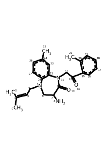 CC(C)=CCN1CC(N)C(=O)N(CC(=O)c2ccccc2C)c2cc(C)ccc21